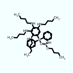 CCCCNc1cc([Si](OB(O)OCCCC)(c2ccccc2)c2ccccc2)c(NCCCC)c(NCCCC)c1NCCCC